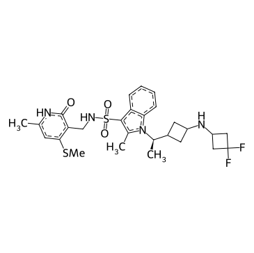 CSc1cc(C)[nH]c(=O)c1CNS(=O)(=O)c1c(C)n([C@H](C)C2CC(NC3CC(F)(F)C3)C2)c2ccccc12